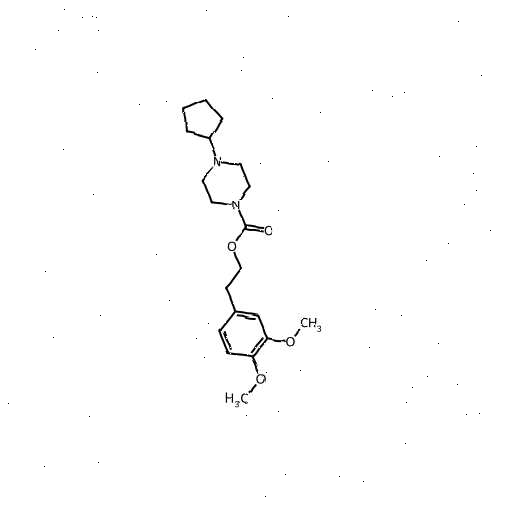 COc1ccc(CCOC(=O)N2CCN(C3CCCC3)CC2)cc1OC